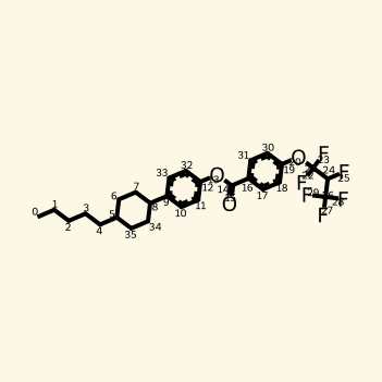 CCCCCC1CCC(c2ccc(OC(=O)c3ccc(OC(F)(F)C(F)C(F)(F)F)cc3)cc2)CC1